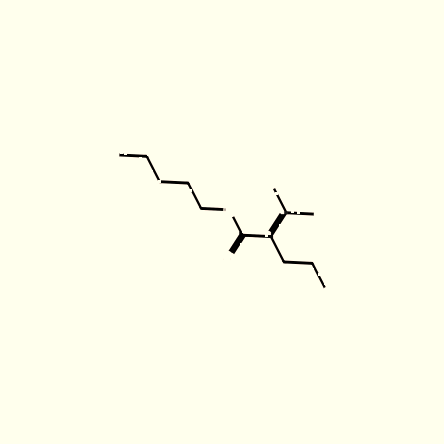 CCCCCOC(=O)C(CCC)=C(C)C